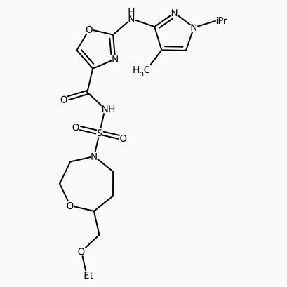 CCOCC1CCN(S(=O)(=O)NC(=O)c2coc(Nc3nn(C(C)C)cc3C)n2)CCO1